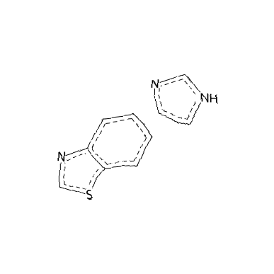 c1c[nH]cn1.c1ccc2scnc2c1